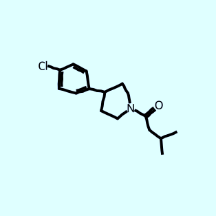 CC(C)CC(=O)N1CCC(c2ccc(Cl)cc2)CC1